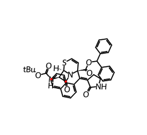 CC(C)(C)OC(=O)N[C@@H]1C(=O)N2[C@@H]1SC=C[C@]2(C(=O)OC(c1ccccc1)c1ccccc1)C(=C1CCNC1=O)c1cccc2ccccc12